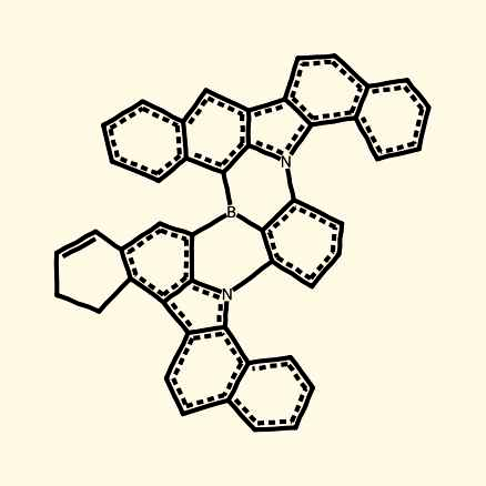 C1=Cc2cc3c4c(c2CC1)c1ccc2ccccc2c1n4-c1cccc2c1B3c1c3ccccc3cc3c4ccc5ccccc5c4n-2c13